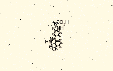 CN(C(=O)O)c1nc2cc(-c3n[nH]c(=O)c4c(Cl)ccc(Cl)c34)ccc2[nH]1